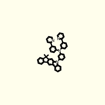 CC1(C)c2ccccc2-c2cc3c4ccccc4n(-c4cccc(N(c5cccc(-c6ccccn6)c5)c5cccc(-c6ccccn6)c5)c4)c3cc21